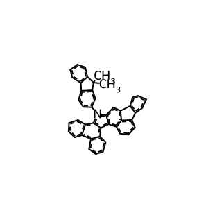 CC1(C)c2ccccc2-c2ccc(-n3c4cc5c6c(cccc6c4c4c6ccccc6c6ccccc6c43)-c3ccccc3-5)cc21